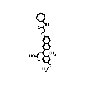 COc1ccc(C(CC(=O)O)c2ccc3ccc(OCC(=O)NC4CCCCCC4)cc3c2)c(C)c1